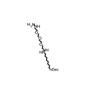 CCCCCCCCCCCCCCCCCCNNCCOCCOCCOCCNN